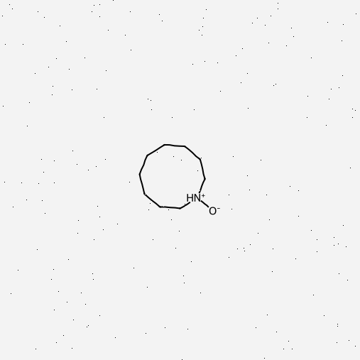 [O-][NH+]1CCCCCCCCC1